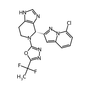 CC(F)(F)c1nnc(N2CCc3[nH]cnc3[C@@H]2c2cc3cccc(Cl)n3n2)o1